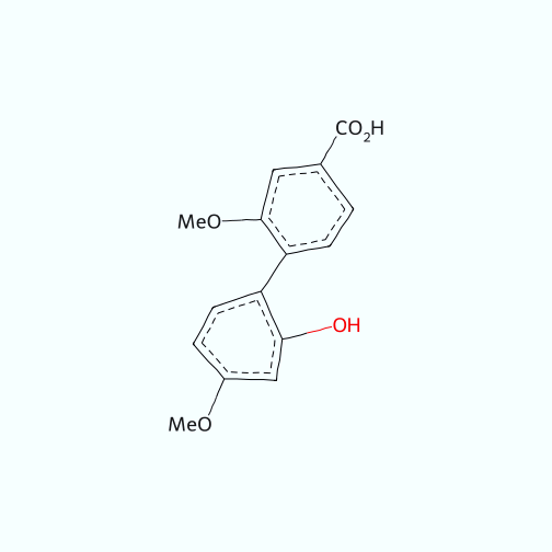 COc1ccc(-c2ccc(C(=O)O)cc2OC)c(O)c1